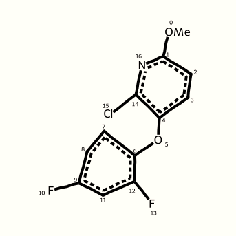 COc1ccc(Oc2ccc(F)cc2F)c(Cl)n1